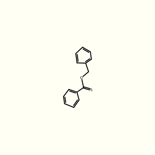 S=C(OCc1ccccc1)c1ccccc1